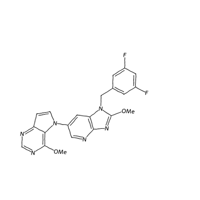 COc1ncnc2ccn(-c3cnc4nc(OC)n(Cc5cc(F)cc(F)c5)c4c3)c12